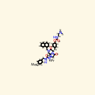 CCCN(C(=O)NCc1ccc(OC)cc1)N1CC(=O)N2[C@@H](Cc3ccc(OC(=O)NCCN(C)C)cc3)C(=O)N(Cc3cccc4ccccc34)C[C@@H]21